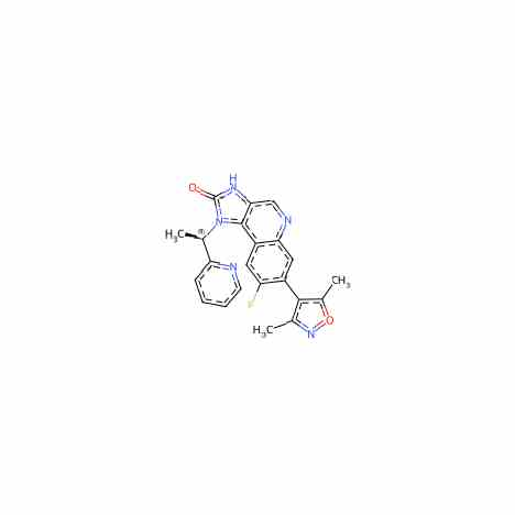 Cc1noc(C)c1-c1cc2ncc3[nH]c(=O)n([C@H](C)c4ccccn4)c3c2cc1F